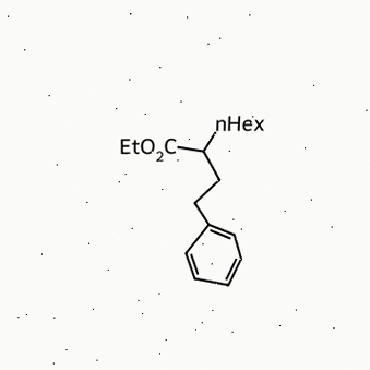 CCCCCCC(CCc1ccccc1)C(=O)OCC